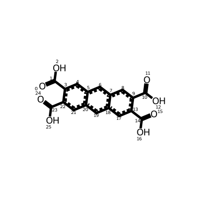 O=C(O)c1cc2cc3cc(C(=O)O)c(C(=O)O)cc3cc2cc1C(=O)O